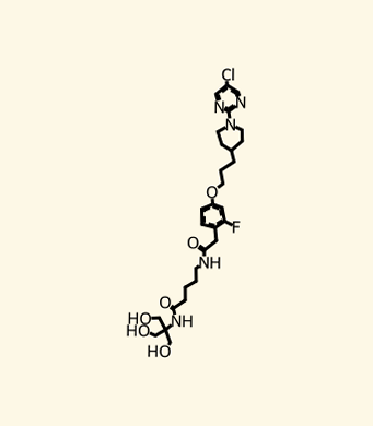 O=C(Cc1ccc(OCCCC2CCN(c3ncc(Cl)cn3)CC2)cc1F)NCCCCC(=O)NC(CO)(CO)CO